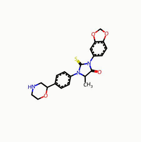 CC1C(=O)N(c2ccc3c(c2)OCO3)C(=S)N1c1ccc(C2CNCCO2)cc1